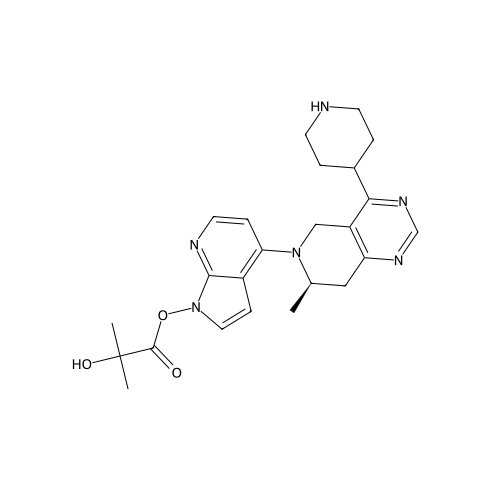 C[C@@H]1Cc2ncnc(C3CCNCC3)c2CN1c1ccnc2c1ccn2OC(=O)C(C)(C)O